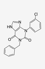 O=c1c2[nH]cnc2n(-c2cccc(Cl)c2)c(=O)n1Cc1ccccc1